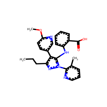 CCCc1nn(-c2ncccc2C)c(Nc2ccccc2C(=O)O)c1-c1ccc(OC)nc1